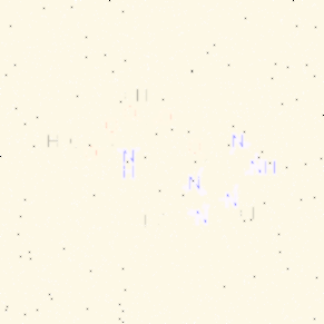 COC(=O)NC(CCc1c(C)nc2n1C(=O)C1N=CNC1N2C)C(=O)OC